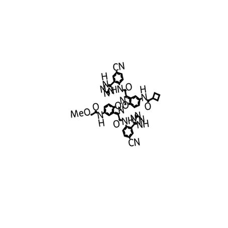 COCC(=O)Nc1ccc2onc(C(=O)Nc3ccc(C#N)cc3-c3nnn[nH]3)c2c1.N#Cc1ccc(NC(=O)c2noc3ccc(NC(=O)C4CCC4)cc23)c(-c2nnn[nH]2)c1